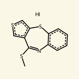 CSC1=Nc2ccccc2Sc2cscc21.I